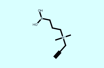 C#CC[N+](C)(C)CCCB(O)O